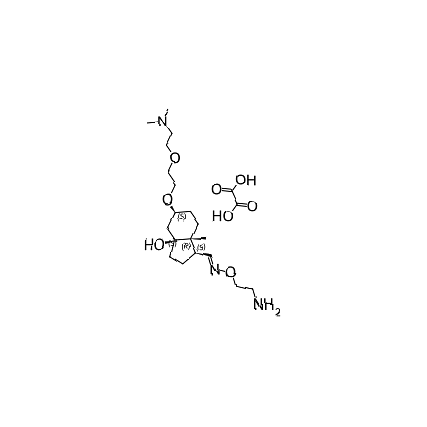 CN(C)CCOCCO[C@H]1CC[C@]2(C)[C@@H](C=NOCCN)CC[C@]2(O)C1.O=C(O)C(=O)O